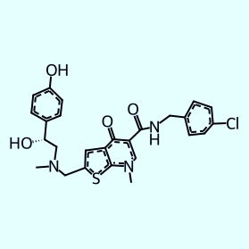 CN(Cc1cc2c(=O)c(C(=O)NCc3ccc(Cl)cc3)cn(C)c2s1)C[C@H](O)c1ccc(O)cc1